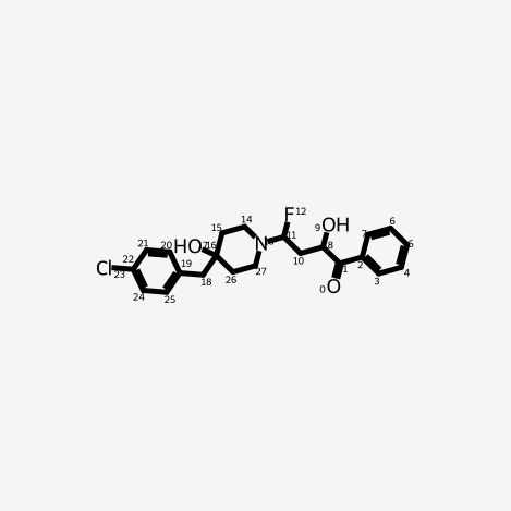 O=C(c1ccccc1)C(O)CC(F)N1CCC(O)(Cc2ccc(Cl)cc2)CC1